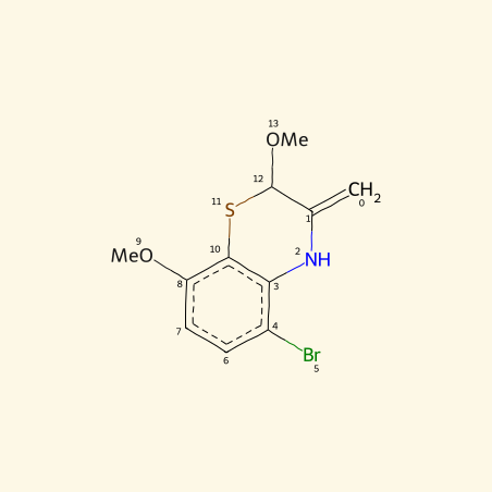 C=C1Nc2c(Br)ccc(OC)c2SC1OC